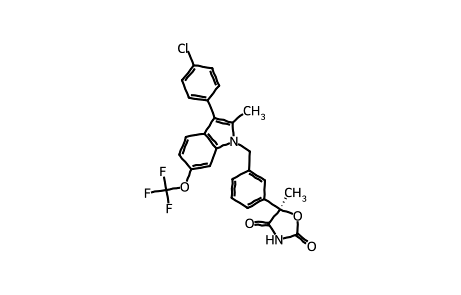 Cc1c(-c2ccc(Cl)cc2)c2ccc(OC(F)(F)F)cc2n1Cc1cccc([C@@]2(C)OC(=O)NC2=O)c1